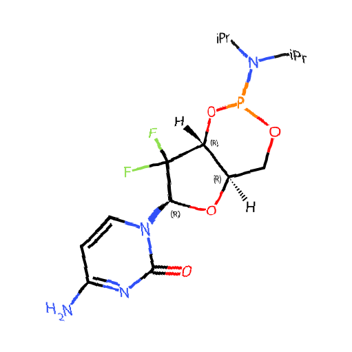 CC(C)N(C(C)C)P1OC[C@H]2O[C@@H](n3ccc(N)nc3=O)C(F)(F)[C@@H]2O1